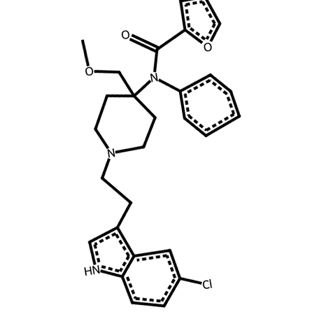 COCC1(N(C(=O)c2ccco2)c2ccccc2)CCN(CCc2c[nH]c3ccc(Cl)cc23)CC1